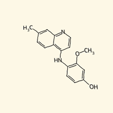 COc1cc(O)ccc1Nc1ccnc2cc(C)ccc12